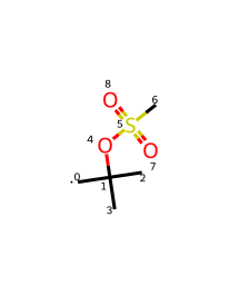 [CH2]C(C)(C)OS(C)(=O)=O